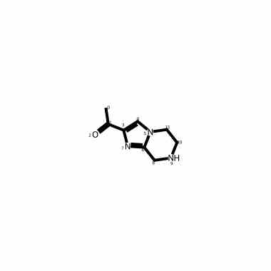 CC(=O)c1cn2c(n1)CNCC2